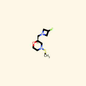 CSN1CCO[C@@H](CN2CC(F)C2)C1